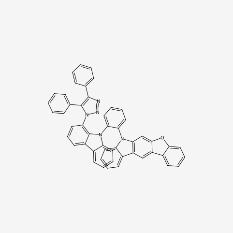 c1ccc(-c2nnn(-c3cccc4c5ccccc5n(-c5ccccc5-n5c6ccccc6c6cc7c(cc65)oc5ccccc57)c34)c2-c2ccccc2)cc1